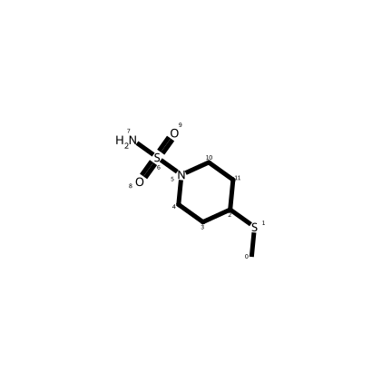 CSC1CCN(S(N)(=O)=O)CC1